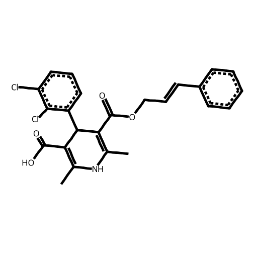 CC1=C(C(=O)O)C(c2cccc(Cl)c2Cl)C(C(=O)OCC=Cc2ccccc2)=C(C)N1